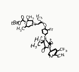 CCc1cc(N2C(=S)N(c3cnc(C#N)c(C(F)(F)F)c3)C(=O)C2(C)C)ccc1O[C@@H](C)CN1CC(C)N(C(=O)OC(C)(C)C)C(C)C1